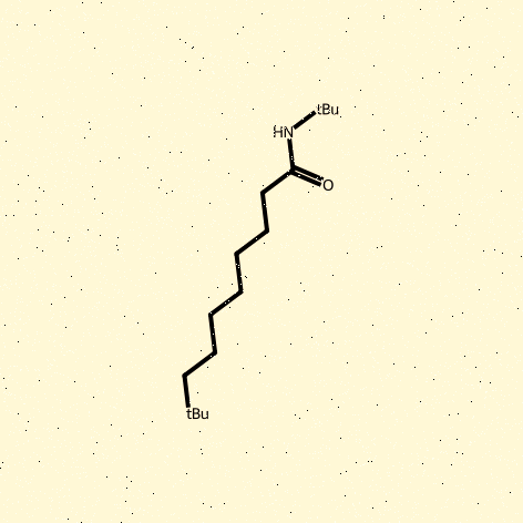 CC(C)(C)CCCCCCCC(=O)NC(C)(C)C